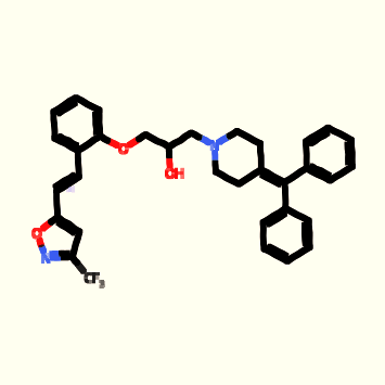 OC(COc1ccccc1/C=C/c1cc(C(F)(F)F)no1)CN1CCC(=C(c2ccccc2)c2ccccc2)CC1